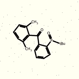 Cc1cccc(C)c1C(=O)c1ccccc1[P](=O)C(C)(C)C